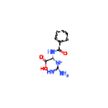 N=C(N)NC(NC(=O)c1ccccc1)C(=O)O